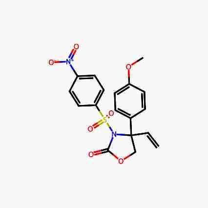 C=CC1(c2ccc(OC)cc2)COC(=O)N1S(=O)(=O)c1ccc([N+](=O)[O-])cc1